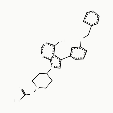 CC(C)(C)C(=O)ON1CCC(n2cc(-c3cccc(OCc4ccccc4)c3)c3c(N)ncnc32)CC1